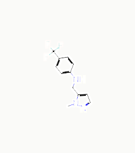 Cn1nccc1CNc1ccc(C(F)(F)F)cc1